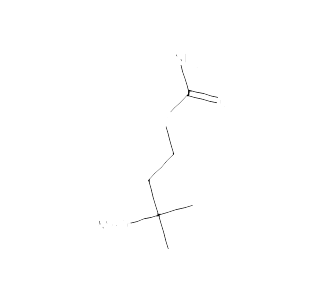 COC(C)(C)CCOC(N)=O